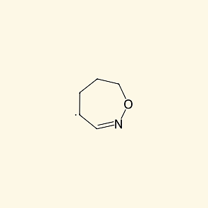 [CH]1C=NOCCC1